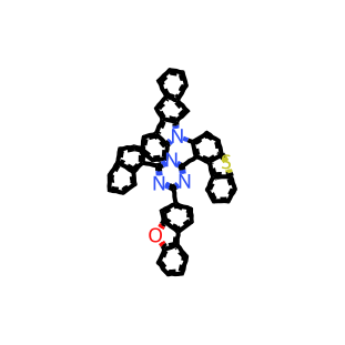 c1ccc2cc3c(cc2c1)c1ccccc1n3-c1ccc2sc3ccccc3c2c1-c1nc(-c2ccc3c(c2)oc2ccccc23)nc(-c2cccc3ccccc23)n1